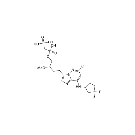 CO[C@@H](CCc1cnc2c(NC3CCC(F)(F)C3)cc(Cl)nn12)COP(=O)(O)CP(=O)(O)O